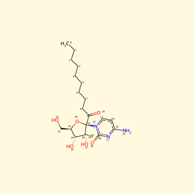 CCCCCCCCCC(=O)[C@@]1(n2ccc(N)nc2=O)O[C@H](CO)[C@@H](O)[C@]1(O)F